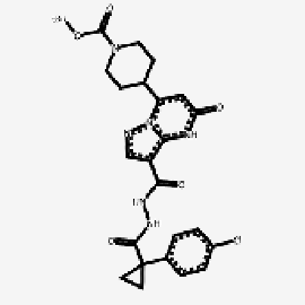 CC(C)(C)OC(=O)N1CCC(c2cc(=O)[nH]c3c(C(=O)NNC(=O)C4(c5ccc(Cl)cc5)CC4)cnn23)CC1